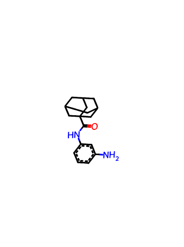 Nc1cccc(NC(=O)C23CC4CC(CC(C4)C2)C3)c1